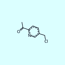 CC(=O)c1ccc(CCl)cn1